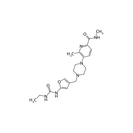 CCNC(=O)Nc1cc(CN2CCN(c3ccc(C(=O)NC)nc3C)CC2)co1